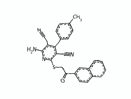 Cc1ccc(-c2c(C#N)c(N)nc(SCC(=O)c3ccc4ccccc4c3)c2C#N)cc1